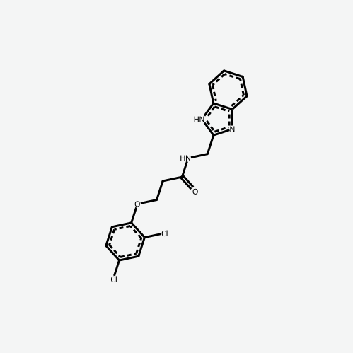 O=C(CCOc1ccc(Cl)cc1Cl)NCc1nc2ccccc2[nH]1